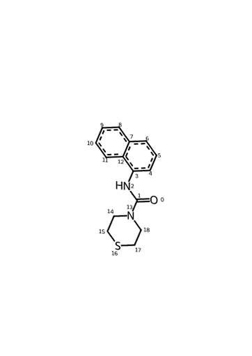 O=C(Nc1cccc2ccccc12)N1CCSCC1